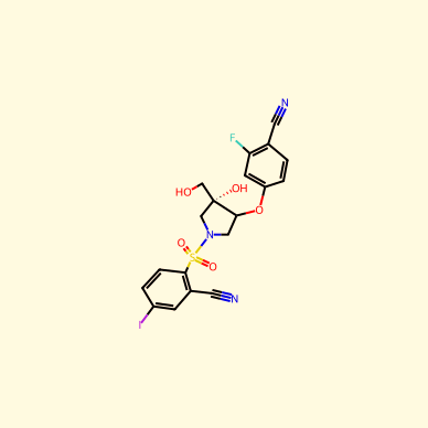 N#Cc1ccc(OC2CN(S(=O)(=O)c3ccc(I)cc3C#N)C[C@@]2(O)CO)cc1F